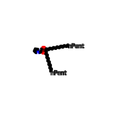 CCCCCC=CCC=CCCCCCCCCC1(CCCCCCCC=CCC=CCCCCC)OCC(CN2CCCC2)O1